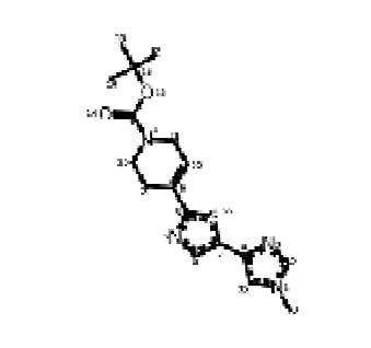 Cn1cnc(-c2cnc(C3=CCN(C(=O)OC(C)(C)C)CC3)s2)c1